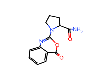 NC(=O)C1CCCN1c1nc2ccccc2c(=O)o1